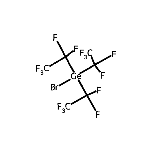 FC(F)(F)[C](F)(F)[Ge]([Br])([C](F)(F)C(F)(F)F)[C](F)(F)C(F)(F)F